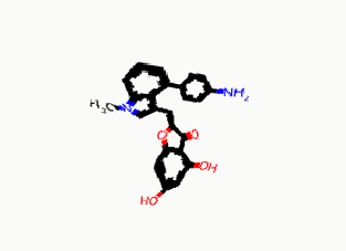 Cn1cc(/C=C2\Oc3cc(O)cc(O)c3C2=O)c2c(-c3ccc(N)cc3)cccc21